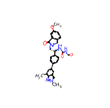 COc1ccc2c(c1)C(=O)N(C[C@H](NC(=O)NC=O)c1ccc(-c3cc(C)c4nn(C)cc4c3)cc1)C2